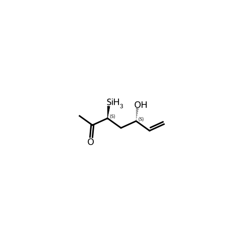 C=C[C@@H](O)C[C@H]([SiH3])C(C)=O